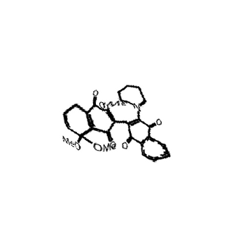 COC1=C(C2=C(N3CCCCC3)C(=O)c3ccccc3C2=O)C(=O)C2=C(CC=CC2(OC)OC)C1=O